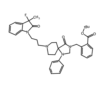 CC(C)(C)OC(=O)c1ccccc1CN1CN(c2ccccc2)C2(CCN(CCCN3C(=O)C(C)(F)c4ccccc43)CC2)C1=O